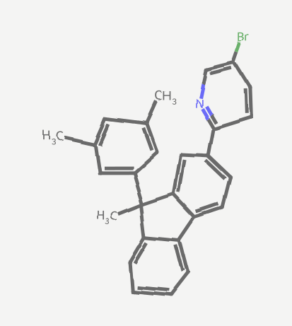 Cc1cc(C)cc(C2(C)c3ccccc3-c3ccc(-c4ccc(Br)cn4)cc32)c1